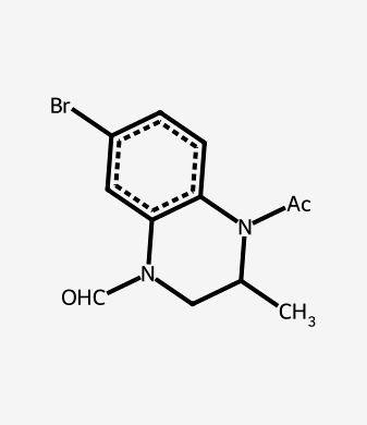 CC(=O)N1c2ccc(Br)cc2N(C=O)CC1C